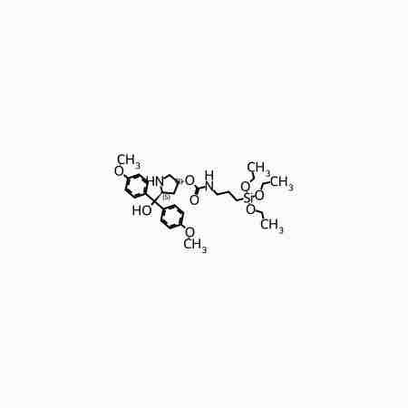 CCO[Si](CCCNC(=O)O[C@H]1CN[C@H](C(O)(c2ccc(OC)cc2)c2ccc(OC)cc2)C1)(OCC)OCC